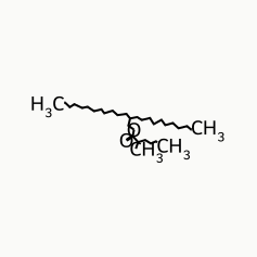 CCCCCCCCCCCCC(CCCCCCCCCCC)COC(=O)C(C)CCCC